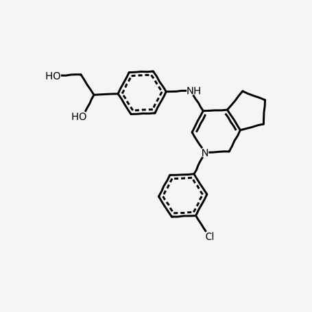 OCC(O)c1ccc(NC2=CN(c3cccc(Cl)c3)CC3=C2CCC3)cc1